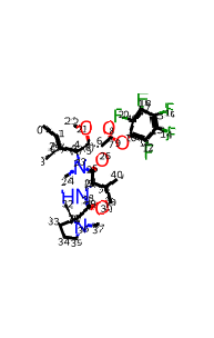 CC[C@H](C)[C@@H]([C@@H](CC(=O)Oc1c(F)c(F)c(F)c(F)c1F)OC)N(C)C(=O)[C@@H](NC(=O)[C@@]1(C)CCCN1C)C(C)C